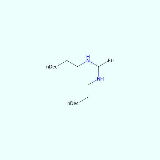 C[CH]C(NCCCCCCCCCCCC)NCCCCCCCCCCCC